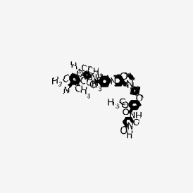 COc1cc(OC2CC(N3CCOC4(CCN(c5ccc(C(=O)NC6C(C)(C)C(Oc7cc(C)c(C#N)c(C)c7)C6(C)C)cc5)CC4)C3)C2)ccc1C(=O)N[C@H]1CCC(=O)NC1=O